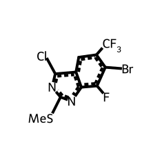 CSc1nc(Cl)c2cc(C(F)(F)F)c(Br)c(F)c2n1